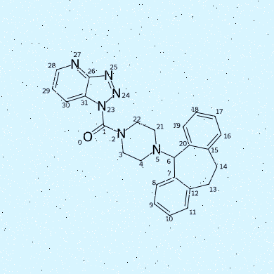 O=C(N1CCN(C2c3ccccc3CCc3ccccc32)CC1)n1nnc2ncccc21